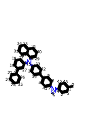 Cc1ccc(N(C)c2ccc(-c3ccc(N(c4cccc(-c5ccccc5)c4)c4cccc5ccccc45)cc3)cc2)cc1